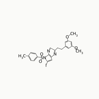 COc1cc(CCc2cnc3c(cc(I)n3S(=O)(=O)c3ccc(C)cc3)n2)cc(OC)c1